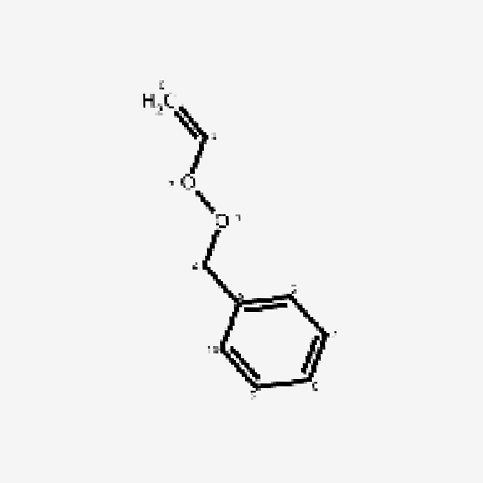 C=COOCc1ccccc1